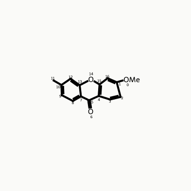 COc1ccc2c(=O)c3ccc(C)cc3oc2c1